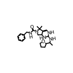 CC(NC1NC=C2C(CN(C(=O)NCc3ccccc3)C2(C)C)N1)C1CCCO1